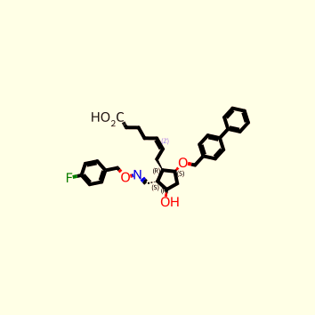 O=C(O)CCC/C=C\C[C@@H]1[C@@H](C=NOCc2ccc(F)cc2)[C@H](O)C[C@@H]1OCc1ccc(-c2ccccc2)cc1